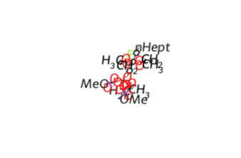 C=C(C)C(=O)OCC(COC(=O)/C=C/C(=O)OC)(COC(=O)/C=C/C(=O)OC)COc1ccc(-c2cc(OC(=O)C(=C)C)c(-c3ccc(CCCCCCC)cc3F)cc2OC(=O)C(=C)C)cc1